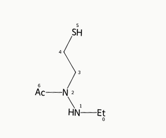 CCNN(CCS)C(C)=O